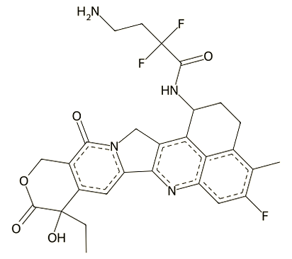 CCC1(O)C(=O)OCc2c1cc1n(c2=O)Cc2c-1nc1cc(F)c(C)c3c1c2C(NC(=O)C(F)(F)CCN)CC3